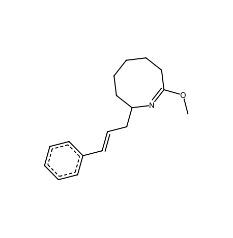 COC1=NC(CC=Cc2ccccc2)CCCCC1